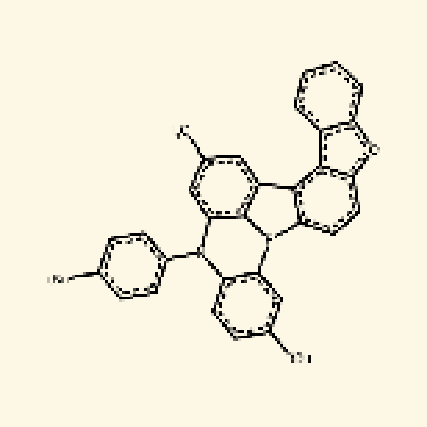 Cc1cc2c3c(c1)N(c1ccc(C(C)(C)C)cc1)c1ccc(C(C)(C)C)cc1B3c1ccc3oc4ccccc4c3c1-2